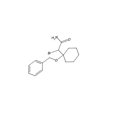 NC(=O)C(Br)C1(OCc2ccccc2)CCCCC1